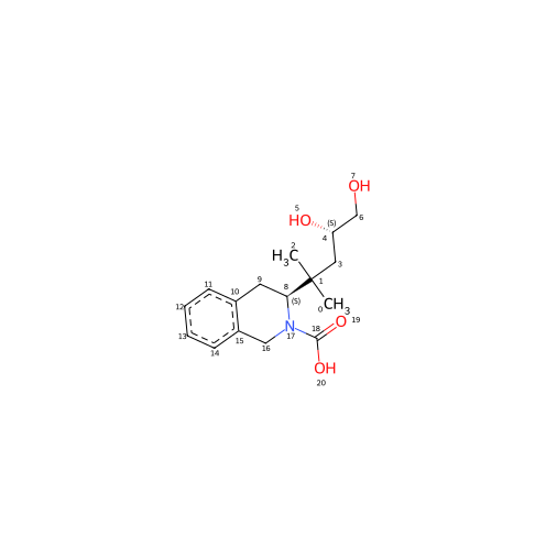 CC(C)(C[C@H](O)CO)[C@@H]1Cc2ccccc2CN1C(=O)O